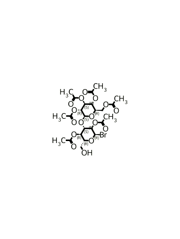 CC(=O)OC[C@H]1O[C@@H](O[C@@H]2[C@@H](OC(C)=O)[C@@H](Br)O[C@H](CO)[C@H]2OC(C)=O)[C@H](OC(C)=O)[C@@H](OC(C)=O)[C@@H]1OC(C)=O